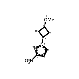 CO[C@H]1C[C@@H](n2ccc([N+](=O)[O-])n2)C1